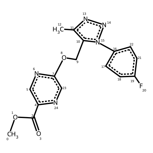 COC(=O)c1cnc(OCc2c(C)nnn2-c2ccc(F)cc2)cn1